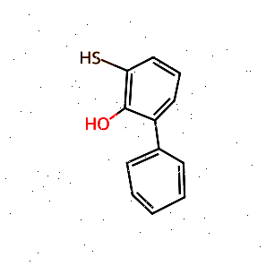 Oc1c(S)cccc1-c1ccccc1